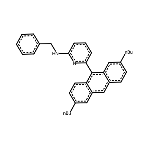 CCCCc1ccc2c(-c3cccc(NCc4ccccc4)n3)c3cc(CCCC)ccc3cc2c1